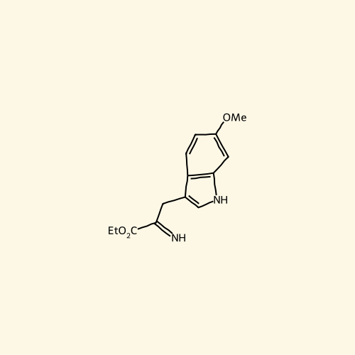 CCOC(=O)C(=N)Cc1c[nH]c2cc(OC)ccc12